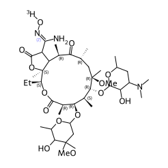 [3H]O/N=C(\N)C1C(=O)O[C@@]2(C)C1[C@@H](C)C(=O)[C@H](C)C[C@@](C)(OC)[C@H](OC1OC(C)CC(N(C)C)C1O)[C@@H](C)[C@@H](OC1CC(C)(OC)C(O)C(C)O1)[C@@H](C)C(=O)O[C@H]2CC